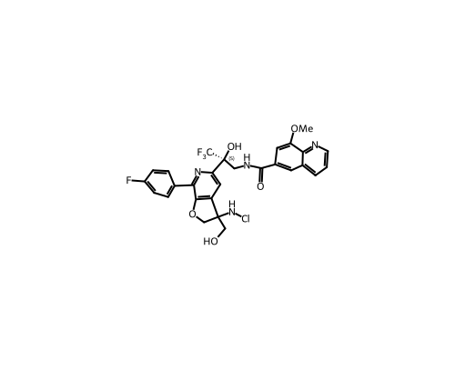 COc1cc(C(=O)NC[C@](O)(c2cc3c(c(-c4ccc(F)cc4)n2)OCC3(CO)NCl)C(F)(F)F)cc2cccnc12